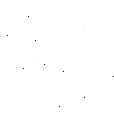 CN(C(=O)C1CCS(=O)(=O)CC1)C(c1ccc(C2CC(C)(C)c3c2cnc2cc(F)nn32)cn1)C(F)(F)F